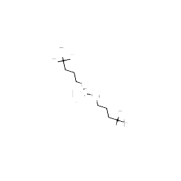 FC(F)(F)CCCO[SiH2]OCCCC(F)(F)F